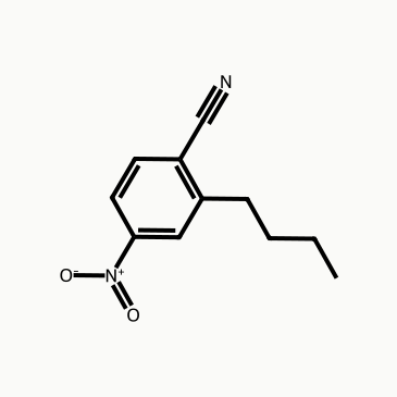 CCCCc1cc([N+](=O)[O-])ccc1C#N